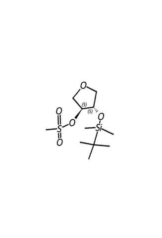 CC(C)(C)[Si](C)(C)O[C@H]1COC[C@@H]1OS(C)(=O)=O